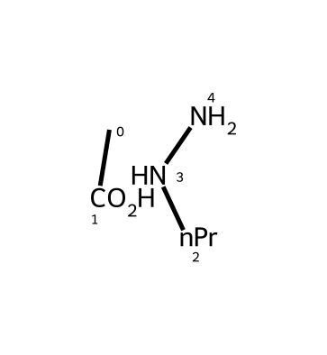 CC(=O)O.CCCNN